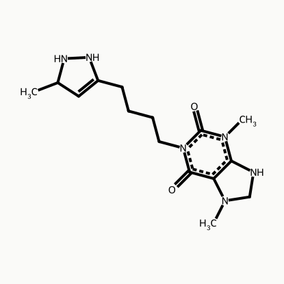 CC1C=C(CCCCn2c(=O)c3c(n(C)c2=O)NCN3C)NN1